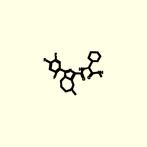 CNC(=O)[C@@H](NC(=O)c1nc(-c2cc(F)c(F)cc2F)n2c1CN(C)CCC2)C1CCCCC1